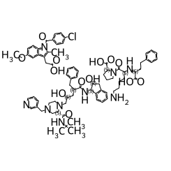 CC(C)(C)NC(=O)[C@@H]1CN(Cc2cccnc2)CCN1C[C@@H](O)C[C@@H](Cc1ccccc1)C(=O)N[C@H]1c2ccccc2C[C@H]1O.COc1ccc2c(c1)c(CC(=O)O)c(C)n2C(=O)c1ccc(Cl)cc1.NCCCC[C@H](N[C@@H](CCc1ccccc1)C(=O)O)C(=O)N1CCC[C@H]1C(=O)O